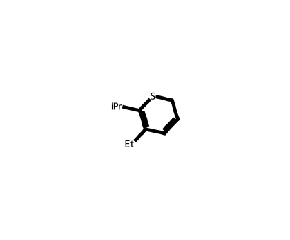 CCC1=C(C(C)C)SCC=C1